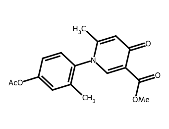 COC(=O)c1cn(-c2ccc(OC(C)=O)cc2C)c(C)cc1=O